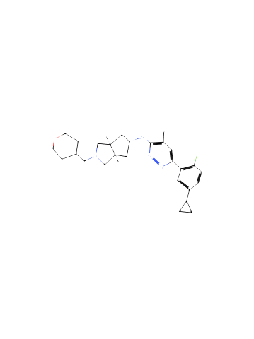 Fc1ccc(C2CC2)cc1-c1cc(C(F)(F)F)c(N[C@H]2C[C@@H]3CN(CC4CCOCC4)C[C@@H]3C2)nn1